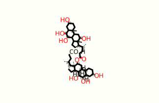 C[C@H](CCC(=O)O[C@H]1C[C@H]2[C@@H]([C@H](O)[C@@H](O)[C@@H]3C[C@H](O)CC[C@@]32C)[C@@H]2CC[C@H]([C@H](C)CCC(=O)O)[C@@]12C)[C@H]1CCC2C3C(C[C@@H](O)[C@@]21C)[C@@]1(C)CC[C@H](O)CC1[C@@H](O)[C@@H]3O